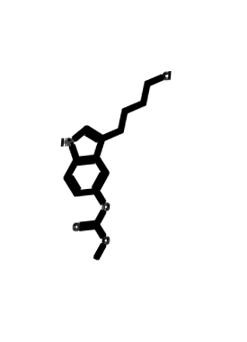 COC(=O)Oc1ccc2[nH]cc(CCCCCl)c2c1